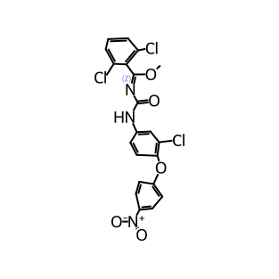 CO/C(=N\C(=O)Nc1ccc(Oc2ccc([N+](=O)[O-])cc2)c(Cl)c1)c1c(Cl)cccc1Cl